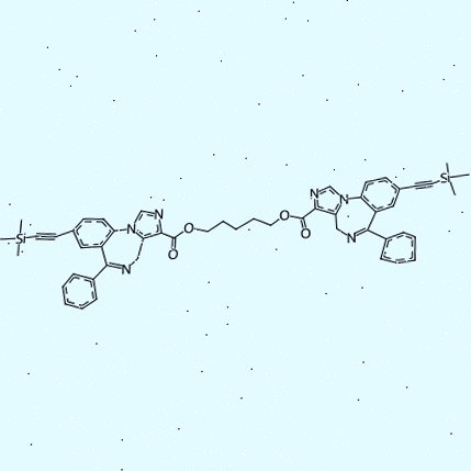 C[Si](C)(C)C#Cc1ccc2c(c1)C(c1ccccc1)=NCc1c(C(=O)OCCCCCOC(=O)c3ncn4c3CN=C(c3ccccc3)c3cc(C#C[Si](C)(C)C)ccc3-4)ncn1-2